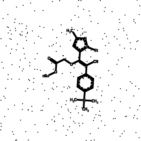 CCCCOC(=O)COC(=C(C#N)c1ccc([Si](C)(C)C)cc1)c1cc(C)nn1CC